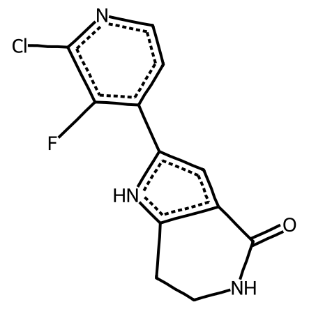 O=C1NCCc2[nH]c(-c3ccnc(Cl)c3F)cc21